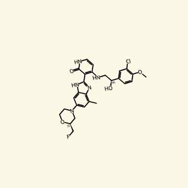 COc1ccc([C@@H](O)CNc2cc[nH]c(=O)c2-c2nc3c(C)cc(N4CCO[C@H](CF)C4)cc3[nH]2)cc1Cl